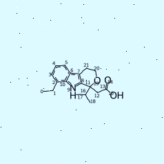 CCc1cccc2c3c([nH]c12)C(CC(=O)O)(C(C)C)OCC3